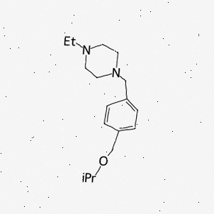 CCN1CCN(Cc2ccc(COC(C)C)cc2)CC1